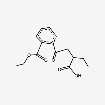 CCOC(=O)c1cccnc1C(=O)CC(CC)C(=O)O